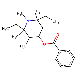 CCC1(C)CC(OC(=O)c2ccccc2)C(C)C(C)(CC)N1C